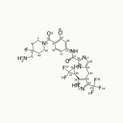 NCC1(F)CCN(C(=O)c2ccc(NC(=O)c3ncc(Cc4c(C(F)(F)F)n[nH]c4[C@@H]4CC4(F)F)[nH]3)cc2Cl)CC1